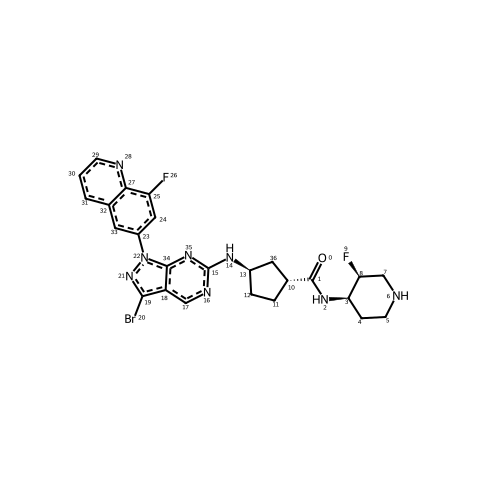 O=C(N[C@@H]1CCNC[C@@H]1F)[C@@H]1CC[C@@H](Nc2ncc3c(Br)nn(-c4cc(F)c5ncccc5c4)c3n2)C1